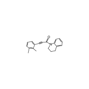 Cc1cccc(C#CC(=O)N2CCCc3ccccc32)c1C